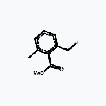 COC(=O)c1c(C)cccc1CI